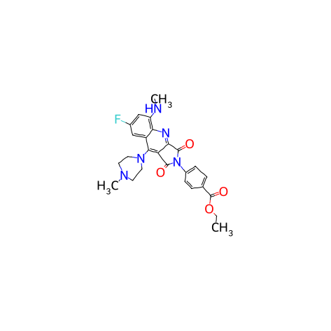 CCOC(=O)c1ccc(N2C(=O)c3nc4c(NC)cc(F)cc4c(N4CCN(C)CC4)c3C2=O)cc1